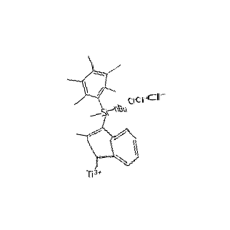 CCCC[Si](C)(C1=C(C)[CH]([Ti+3])c2ccccc21)c1c(C)c(C)c(C)c(C)c1C.[Cl-].[Cl-].[Cl-]